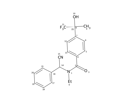 CCN(C(=O)c1ccc([C@](C)(O)C(F)(F)F)cc1)C(C#N)c1ccccc1